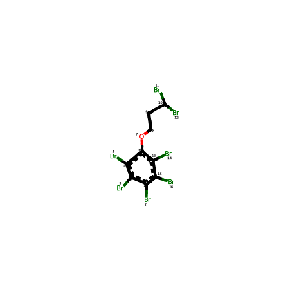 Brc1c(Br)c(Br)c(OCCC(Br)Br)c(Br)c1Br